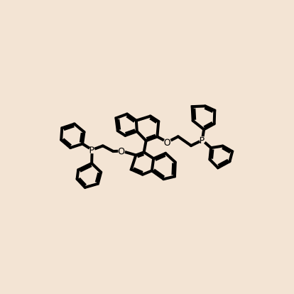 c1ccc(P(CCOc2ccc3ccccc3c2-c2c(OCCP(c3ccccc3)c3ccccc3)ccc3ccccc23)c2ccccc2)cc1